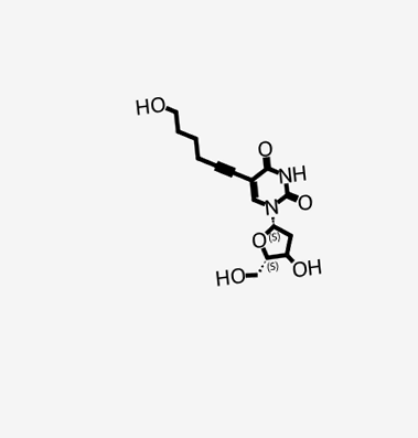 O=c1[nH]c(=O)n([C@@H]2CC(O)[C@H](CO)O2)cc1C#CCCCCO